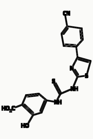 N#Cc1ccc(-c2csc(NC(=S)Nc3ccc(C(=O)O)c(O)c3)n2)cc1